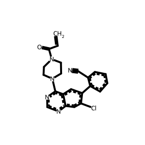 C=CC(=O)N1CCN(c2ncnc3cc(Cl)c(-c4ccccc4C#N)cc23)CC1